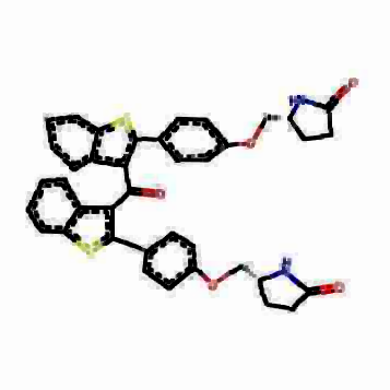 O=C1CC[C@H](COc2ccc(-c3sc4ccccc4c3C(=O)c3c(-c4ccc(OC[C@H]5CCC(=O)N5)cc4)sc4ccccc34)cc2)N1